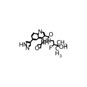 CC(C)(O)C(F)CNC(=O)c1cnc2ccc(-c3cn[nH]c3)cc2c1NC1COC1